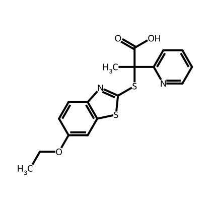 CCOc1ccc2nc(SC(C)(C(=O)O)c3ccccn3)sc2c1